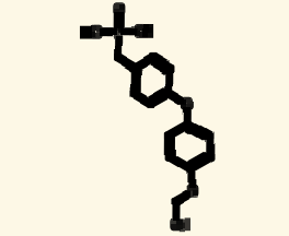 O=P(O)(O)Cc1ccc(Oc2ccc(OCO)cc2)cc1